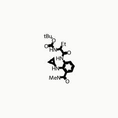 CCC(NC(=O)OC(C)(C)C)C(=O)Nc1cccc(C(=O)NC)c1NC1CC1